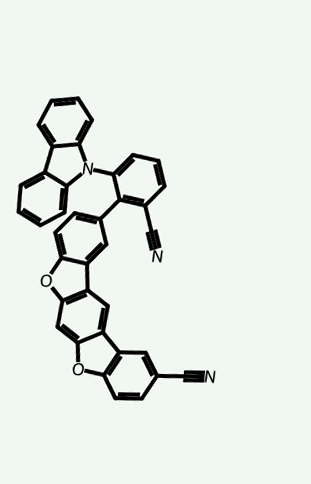 N#Cc1ccc2oc3cc4oc5ccc(-c6c(C#N)cccc6-n6c7ccccc7c7ccccc76)cc5c4cc3c2c1